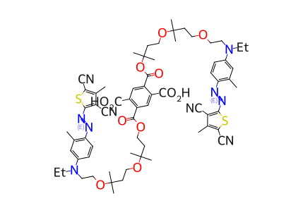 CCN(CCOCCC(C)(C)OCCC(C)(C)OC(=O)c1cc(C(=O)O)c(C(=O)OCCC(C)(C)OCCC(C)(C)OCCN(CC)c2ccc(/N=N/c3sc(C#N)c(C)c3C#N)c(C)c2)cc1C(=O)O)c1ccc(/N=N/c2sc(C#N)c(C)c2C#N)c(C)c1